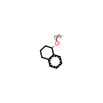 CCCO[C@H]1CCCc2ccccc21